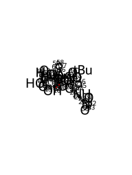 CC(=O)O[C@@]12CO[C@@H]1C[C@H](O)[C@@]1(C)C(=O)[C@H](O)C3=C(C)[C@@H](OC(=O)[C@H](OCCNCCCN4C(=O)C=CC4=O)[C@@H](NC(=O)OC(C)(C)C)c4ccccc4)C[C@@](O)([C@@H](OC(=O)c4ccccc4)[C@H]21)C3(C)C